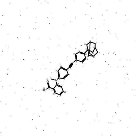 CN(c1ccc(C#Cc2ccc(C34CC5CC(CC(C5)C3)C4)cc2)cc1)c1ccccc1C(=O)O